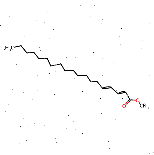 CCCCCCCCCCCCCCC=CC=CC(=O)OC